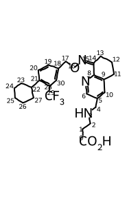 O=C(O)CCNCc1cnc2c(c1)CCC/C2=N/OCc1ccc(C2CCCCC2)c(C(F)(F)F)c1